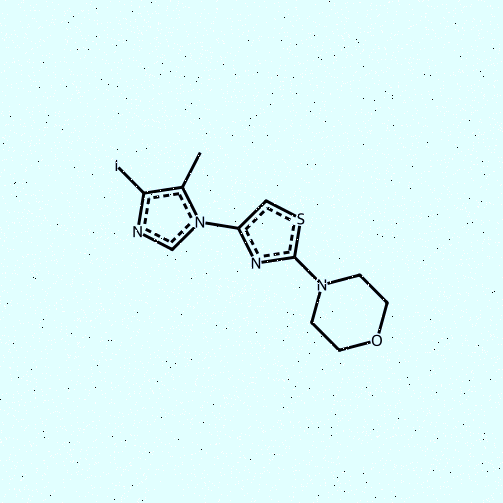 Cc1c(I)ncn1-c1csc(N2CCOCC2)n1